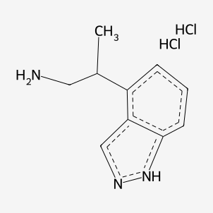 CC(CN)c1cccc2[nH]ncc12.Cl.Cl